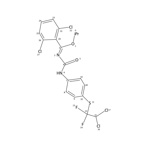 CC(C)OC(=NC(=O)Nc1ccc(SC(F)(F)C(Cl)Cl)cc1)c1c(Cl)cccc1Cl